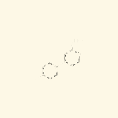 Cc1ccc(-c2ccnc(C=O)c2)cc1